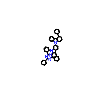 C1=CC(C2CC=Cc3c2c2ccccc2n3-c2ccc3c4ccccc4n(-c4ccccc4-c4nc(-c5ccccc5)nc(-c5ccccc5)n4)c3c2)=CCC1